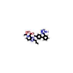 CCCc1nc2c(n1Cc1ccc(-c3ccccc3-c3nnn[nH]3)cc1)C(C(=O)O)N(C(C)=O)CC2